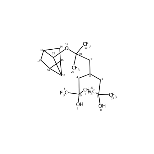 OC(CC(CC(O)(C(F)(F)F)C(F)(F)F)CC(OC1C2CC3C(C2)C31)(C(F)(F)F)C(F)(F)F)(C(F)(F)F)C(F)(F)F